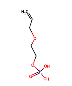 C=CCOCCOP(=O)(O)O